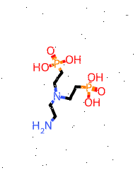 NCCN(CCP(=O)(O)O)CCP(=O)(O)O